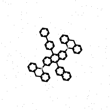 c1ccc(-c2ccc(-c3c4ccc(N5c6ccccc6Cc6ccccc65)cc4c(-c4ccc5ccccc5c4)c4ccc(N5c6ccccc6Cc6ccccc65)cc34)cc2)cc1